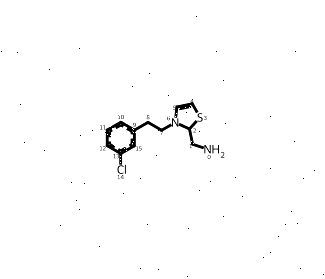 NCC1SC=CN1CCc1cccc(Cl)c1